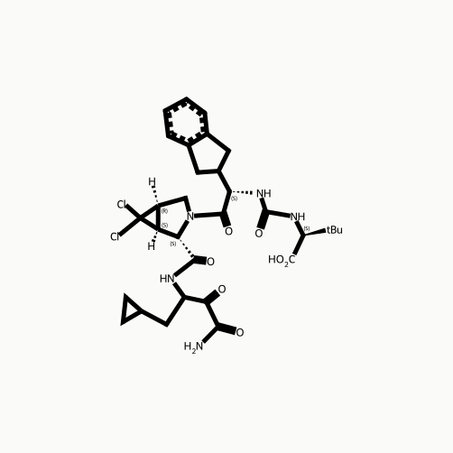 CC(C)(C)[C@H](NC(=O)N[C@H](C(=O)N1C[C@H]2[C@@H]([C@H]1C(=O)NC(CC1CC1)C(=O)C(N)=O)C2(Cl)Cl)C1Cc2ccccc2C1)C(=O)O